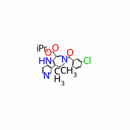 CC(C)OC(=O)C1=CN(C(=O)c2cccc(Cl)c2)CC(C)(C)c2c1[nH]c1ccncc21